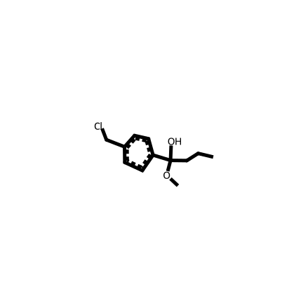 CCCC(O)(OC)c1ccc(CCl)cc1